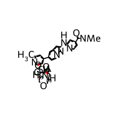 CNC(=O)c1ccnc(Nc2cc3cc(-c4cc(C)ncc4O[C@H]4C[C@H]5COC[C@@H](C4)N5C4([SH](=O)=O)CC4)ccn3n2)c1